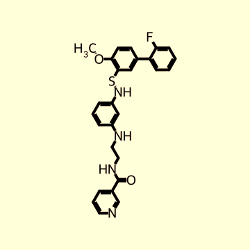 COc1ccc(-c2ccccc2F)cc1SNc1cccc(NCCNC(=O)c2cccnc2)c1